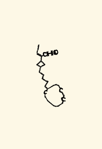 O=CC(=CI)C1CC(CCCCCC2CCCCCCCCCCC2)C1